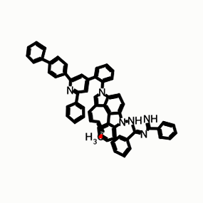 C/C=C\C=C/c1cn(-c2ccccc2-c2cc(-c3ccccc3)nc(-c3ccc(-c4ccccc4)cc3)c2)c2ccc3c(c4ccccc4n3N/C(=N\C(=N)c3ccccc3)c3ccccc3)c12